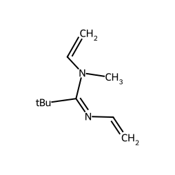 C=C/N=C(\N(C)C=C)C(C)(C)C